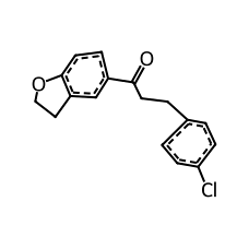 O=C(CCc1ccc(Cl)cc1)c1ccc2c(c1)CCO2